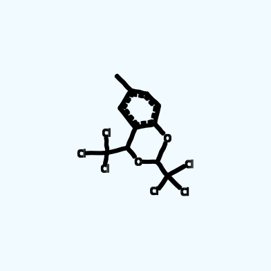 Cc1ccc2c(c1)C(C(Cl)(Cl)Cl)OC(C(Cl)(Cl)Cl)O2